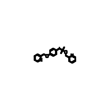 CC(C)([CH]c1ccc(OCc2ccccn2)cc1)OCc1ccccn1